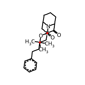 CC(C)(C)OC(=O)N1C2CCCC1C(=O)N(CCCCc1ccccc1)C2